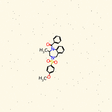 COc1ccc(S(=O)(=O)N2Cc3ccccc3N(C(=O)c3ccccc3)C(C)C2)cc1